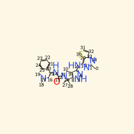 Cc1nc(Nc2n[nH]c3c2CN(C(=O)NC(CN(C)C)c2ccccc2)C3(C)C)c2sccc2n1